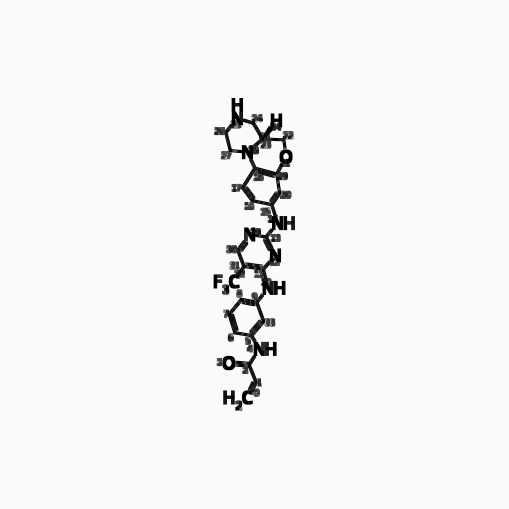 C=CC(=O)Nc1cccc(Nc2nc(Nc3ccc4c(c3)OC[C@H]3CNCCN43)ncc2C(F)(F)F)c1